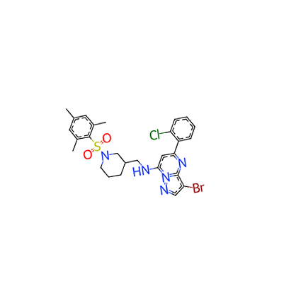 Cc1cc(C)c(S(=O)(=O)N2CCCC(CNc3cc(-c4ccccc4Cl)nc4c(Br)cnn34)C2)c(C)c1